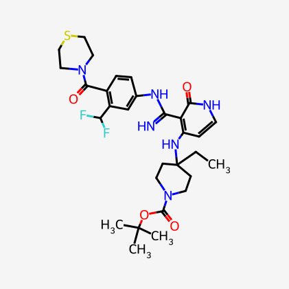 CCC1(Nc2cc[nH]c(=O)c2C(=N)Nc2ccc(C(=O)N3CCSCC3)c(C(F)F)c2)CCN(C(=O)OC(C)(C)C)CC1